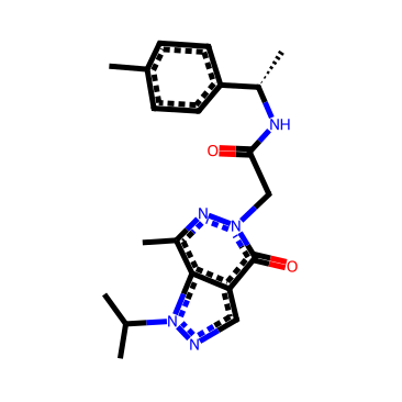 Cc1ccc([C@H](C)NC(=O)Cn2nc(C)c3c(cnn3C(C)C)c2=O)cc1